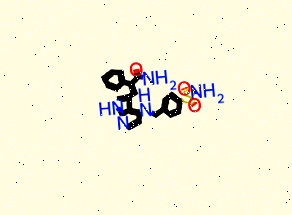 NC(=O)/C(=C/c1c[nH]c2nccc(NCc3ccc(S(N)(=O)=O)cc3)c12)c1ccccc1